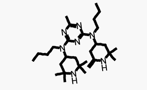 C=C1CC(N(CCCC)c2nc(C)nc(N(CCCC)C3CC(C)(C)NC(C)(C)C3)n2)CC(C)(C)N1